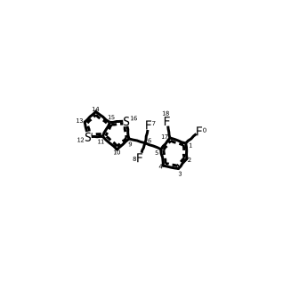 Fc1cccc(C(F)(F)c2cc3sccc3s2)c1F